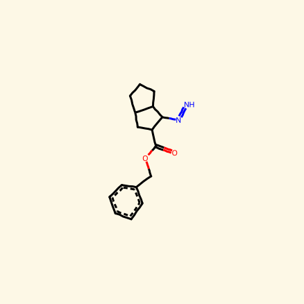 N=NC1C(C(=O)OCc2ccccc2)CC2CCCC21